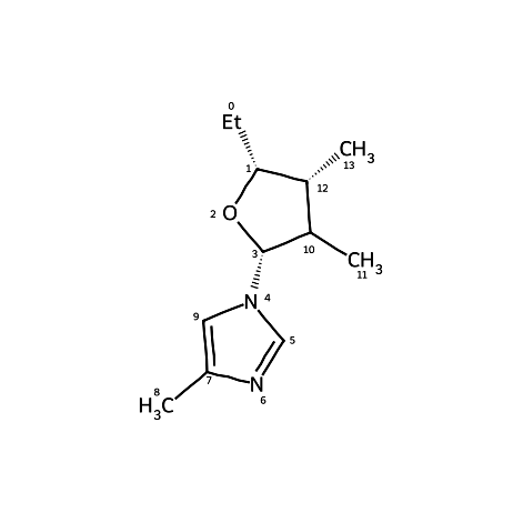 CC[C@H]1O[C@@H](n2cnc(C)c2)C(C)[C@H]1C